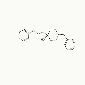 OC1(CCCc2ccccc2)CCN(Cc2ccccc2)CC1